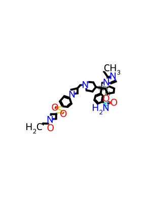 C=CC(=O)N1CC(S(=O)(=O)c2ccc(N3CC(CN4CCC([C@@](Cn5ccnc5CC)(c5cccc(F)c5)[C@H]5CCC[C@@H]5OC(N)=O)CC4)C3)cc2)C1